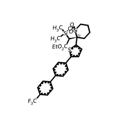 CCOC(=O)C([C@]1(c2ccc(-c3ccc(-c4ccc(C(F)(F)F)cc4)cc3)s2)CCCCS1(=O)=O)[Si](C)(C)C